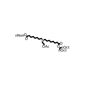 CCCCCCCCCOC(=O)CCCCCCCN(CCCCCCCC(=O)OC(CCCCCCCC)CCCCCCCC)CCOC(C)=O